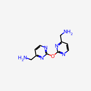 NCc1ccnc(Oc2nccc(CN)n2)n1